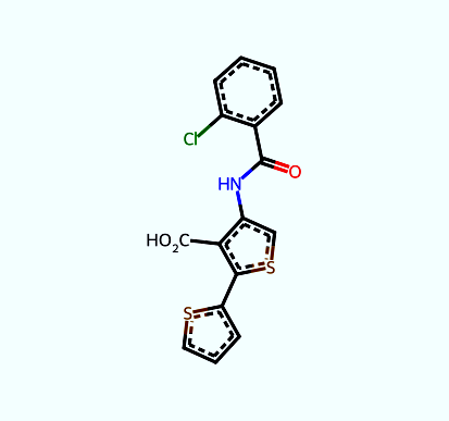 O=C(Nc1csc(-c2cccs2)c1C(=O)O)c1ccccc1Cl